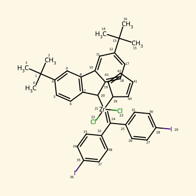 CC(C)(C)c1ccc2c(c1)-c1cc(C(C)(C)C)ccc1[CH]2[Zr]([Cl])([Cl])(=[C](c1ccc(I)cc1)c1ccc(I)cc1)[CH]1C=CC=C1